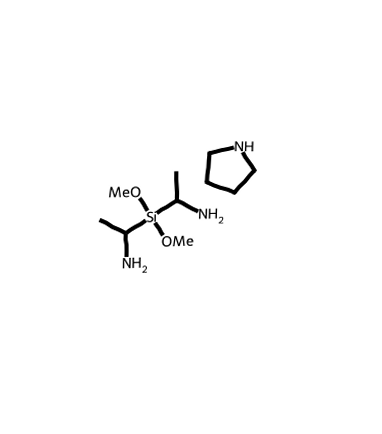 C1CCNC1.CO[Si](OC)(C(C)N)C(C)N